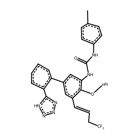 CCCOc1c(/C=C/CC(F)(F)F)cc(-c2ccccc2-c2nnn[nH]2)cc1NC(=O)Nc1ccc(C)cc1